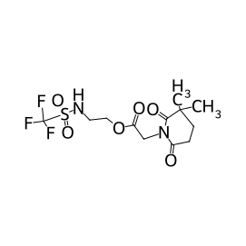 CC1(C)CCC(=O)N(CC(=O)OCCNS(=O)(=O)C(F)(F)F)C1=O